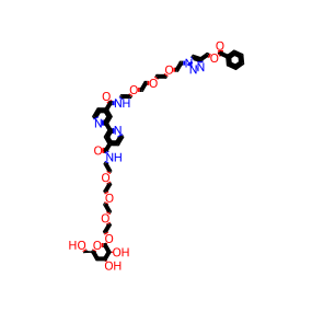 O=C(NCCOCCOCCOCCO[C@@H]1O[C@H](CO)C[C@H](O)[C@H]1O)c1ccnc(-c2cc(C(=O)NCCOCCOCCOCCn3cc(COC(=O)c4ccccc4)nn3)ccn2)c1